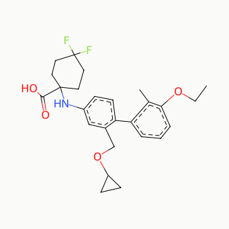 CCOc1cccc(-c2ccc(NC3(C(=O)O)CCC(F)(F)CC3)cc2COC2CC2)c1C